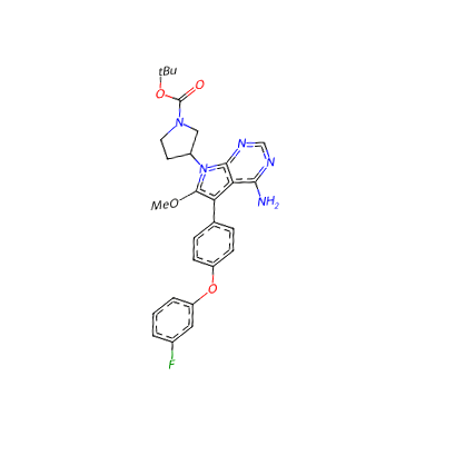 COc1c(-c2ccc(Oc3cccc(F)c3)cc2)c2c(N)ncnc2n1C1CCN(C(=O)OC(C)(C)C)C1